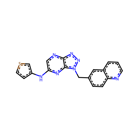 c1cnc2ccc(Cn3nnc4ncc(Nc5ccsc5)nc43)cc2c1